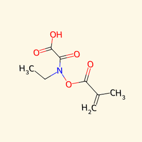 C=C(C)C(=O)ON(CC)C(=O)C(=O)O